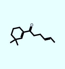 CC=CCCC(=O)C1=CC(C)(C)CCC1